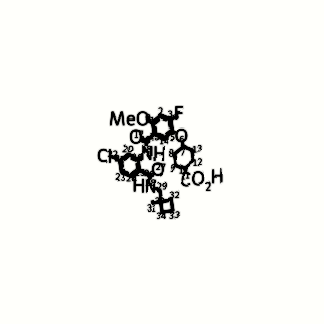 COc1cc(F)c(OC2CCC(C(=O)O)CC2)cc1C(=O)Nc1cc(Cl)ccc1C(=O)NCC1(C)CCC1